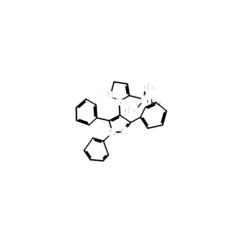 CC(C)(C)[PH](C1=CCNN1c1c(-c2ccccc2)nn(-c2ccccc2)c1-c1ccccc1)(C(C)(C)C)C(C)(C)C